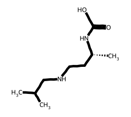 CC(C)CNCC[C@@H](C)NC(=O)O